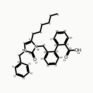 CCCCCCc1cn(Cc2ccccc2)c(=O)n1Cc1ccccc1-c1ccccc1C(=O)O